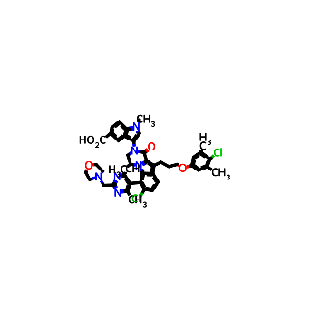 Cc1cc(OCCCc2c3n(c4c(-c5c(C)nc(CN6CCOCC6)nc5C)c(Cl)ccc24)C(C)CN(c2cn(C)c4ccc(C(=O)O)cc24)C3=O)cc(C)c1Cl